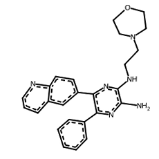 Nc1nc(-c2ccccc2)c(-c2ccc3ncccc3c2)nc1NCCN1CCOCC1